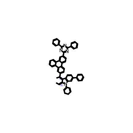 C/C=c1\c(=C(/C)c2ccc3c4ccc(-c5nc(-c6ccccc6)nc(-c6ccccc6)n5)cc4c4ccccc4c3c2)c2ccc(-c3ccccc3)cc2n1C1=CCCC=C1